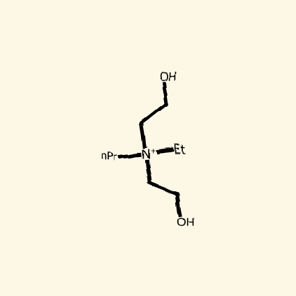 CCC[N+](CC)(CCO)CCO